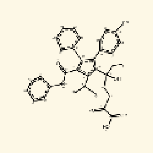 CCC(O)(CCC(=O)C(=O)O)n1c(-c2ccc(F)cc2)c(-c2ccccc2)c(C(=O)Nc2ccccc2)c1C(C)C